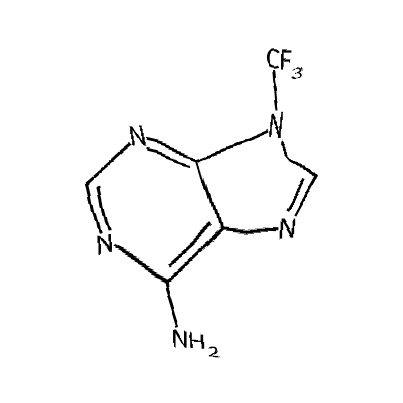 Nc1ncnc2c1ncn2C(F)(F)F